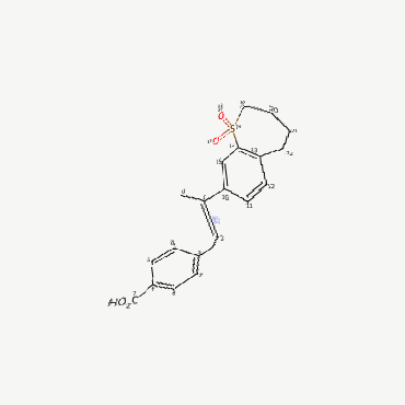 C/C(=C\c1ccc(C(=O)O)cc1)c1ccc2c(c1)S(=O)(=O)CCCC2